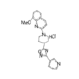 COc1cccc2ccc(N3CCC(c4nc(-c5cccnc5)no4)CC3)nc12.Cl